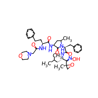 CC(C)C[C@H](NC(=O)[C@H](Cc1ccccc1)N1C(=O)[C@@H](NC(=O)[C@H](CCc2ccccc2)NC(=O)CN2CCOCC2)CC1C)/C(=N/O)[C@@]1(C)CO1